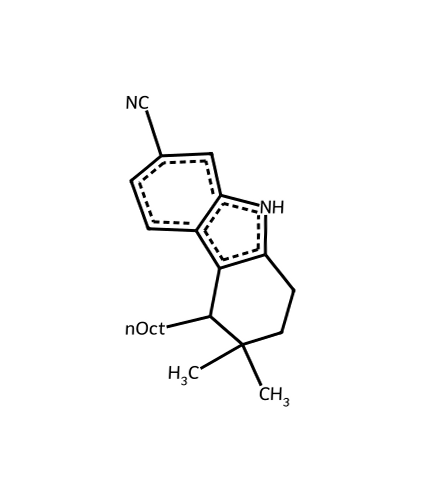 CCCCCCCCC1c2c([nH]c3cc(C#N)ccc23)CCC1(C)C